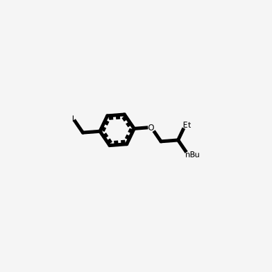 CCCCC(CC)COc1ccc(CI)cc1